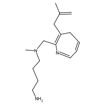 C=C(C)CC1=C(CN(C)CCCCN)N=CC=CC1